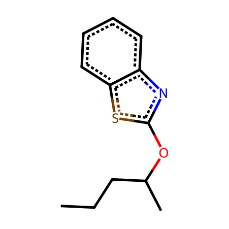 CCCC(C)Oc1nc2ccccc2s1